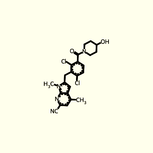 Cc1cc(C#N)nc2c1cc(Cc1c(Cl)ccc(C(=O)N3CCC(O)CC3)c1Cl)n2C